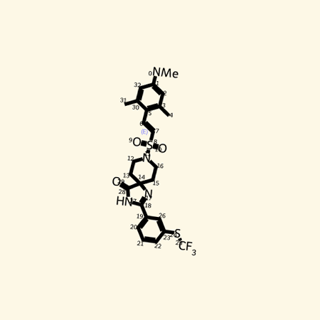 CNc1cc(C)c(/C=C/S(=O)(=O)N2CCC3(CC2)N=C(c2cccc(SC(F)(F)F)c2)NC3=O)c(C)c1